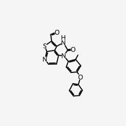 Cc1cc(Oc2ccccc2)ccc1N1C(=O)Nc2c(C=O)sc3nccc1c23